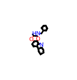 CC(Oc1ccc2c3ccccc3n(C)c2c1)C(=O)NCc1ccccc1